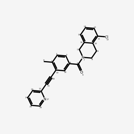 Cc1ccc(C(=O)N2CCc3c(Cl)cccc3C2)cc1C#Cc1ccccn1